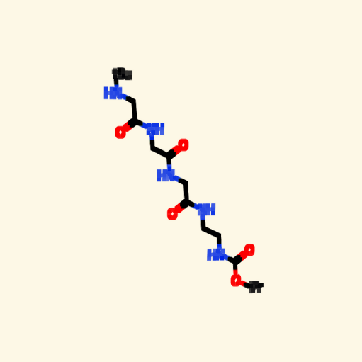 CC(C)OC(=O)NCCNC(=O)CNC(=O)CNC(=O)CNC(C)(C)C